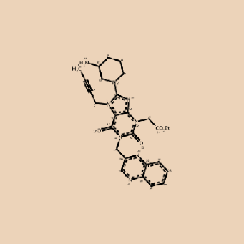 CC#CCn1c(N2CCCC(N)C2)nc2c1c(=O)n(Cc1cnc3ccccc3n1)c(=O)n2CC(=O)OCC